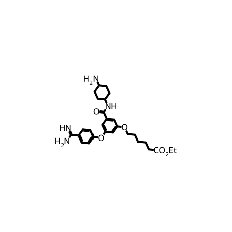 CCOC(=O)CCCCCOc1cc(Oc2ccc(C(=N)N)cc2)cc(C(=O)NC2CCC(N)CC2)c1